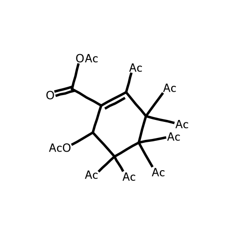 CC(=O)OC(=O)C1=C(C(C)=O)C(C(C)=O)(C(C)=O)C(C(C)=O)(C(C)=O)C(C(C)=O)(C(C)=O)C1OC(C)=O